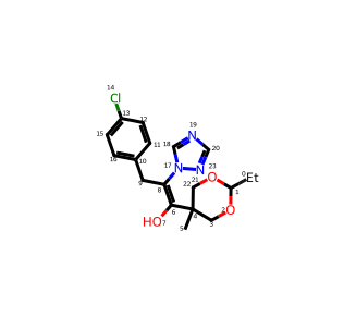 CCC1OCC(C)(C(O)=C(Cc2ccc(Cl)cc2)n2cncn2)CO1